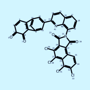 O=C1C=CC2=C(C1=O)c1cc2cc(-c2ccc3cccc(N4C(=O)c5c(Cl)c(Cl)c6c(Cl)c(Cl)ccc6c5C4=O)c3n2)c1